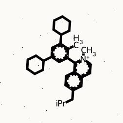 Cc1c(-c2c3ccc(CC(C)C)cc3cc[n+]2C)cc(C2CCCCC2)cc1C1CCCCC1